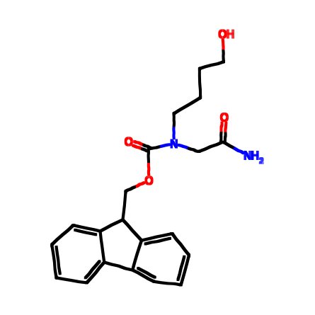 NC(=O)CN(CCCCO)C(=O)OCC1c2ccccc2-c2ccccc21